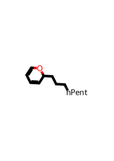 CCCCCCCCC1C=CC=CO1